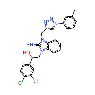 Cc1cccc(-n2cc(Cn3c(=N)n(CC(O)c4ccc(Cl)c(Cl)c4)c4ccccc43)nn2)c1